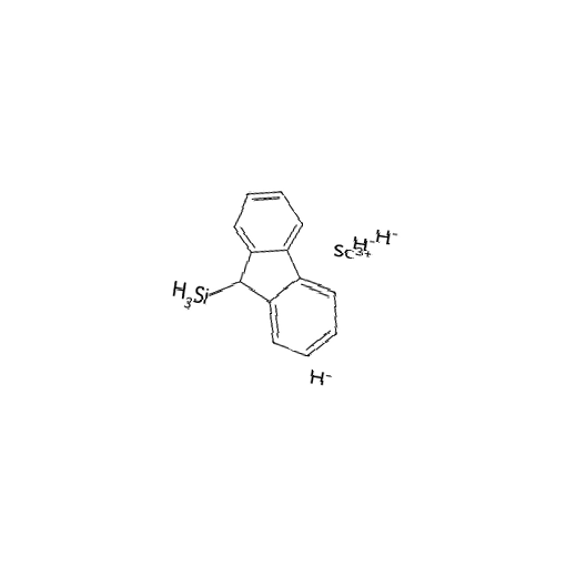 [H-].[H-].[H-].[Sc+3].[SiH3]C1c2ccccc2-c2ccccc21